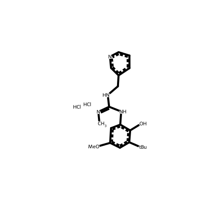 CN=C(NCc1cccnc1)Nc1cc(OC)cc(C(C)(C)C)c1O.Cl.Cl